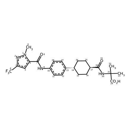 Cn1nc(C(F)(F)F)cc1C(=O)Nc1ccc([C@H]2CC[C@H](C(=O)NC(C)(C)C(=O)O)CC2)cc1